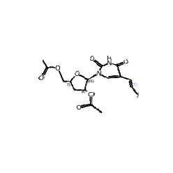 CC(=O)OC[C@@H]1C[C@@H](OC(C)=O)[C@H](n2cc(/C=C/I)c(=O)[nH]c2=O)O1